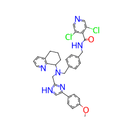 COc1ccc(-c2c[nH]c(CN(Cc3ccc(CNC(=O)c4c(Cl)cncc4Cl)cc3)C3CCCc4cccnc43)n2)cc1